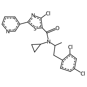 CC(Cc1ccc(Cl)cc1Cl)N(C(=O)c1sc(-c2cccnc2)nc1Cl)C1CC1